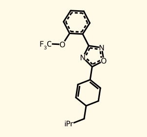 CC(C)CC1C=CC(c2nc(-c3ccccc3OC(F)(F)F)no2)=CC1